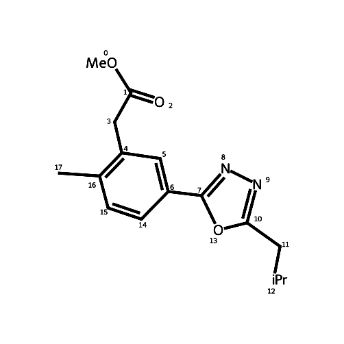 COC(=O)Cc1cc(-c2nnc(CC(C)C)o2)ccc1C